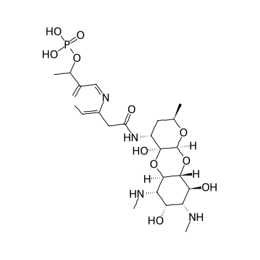 C=C(/C=N\C(=C/C)CC(=O)N[C@@H]1C[C@@H](C)O[C@H]2O[C@@H]3[C@@H](O)[C@H](NC)[C@H](O)[C@H](NC)[C@H]3O[C@]21O)C(C)OP(=O)(O)O